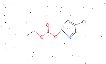 CCOC(=O)Oc1ccc(Cl)[c]n1